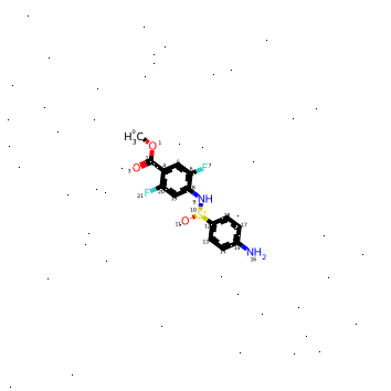 COC(=O)c1cc(F)c(N[S+]([O-])c2ccc(N)cc2)cc1F